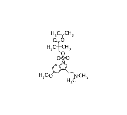 COc1ccc2c(c1)c(CCN(C)C)cn2S(=O)(=O)OCC(C)(C)C(=O)OC(C)C